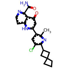 Cc1nc(C2CC3(CCC3)C2)c(Cl)cc1-c1cc(=O)c2c(C(N)=O)nccc2[nH]1